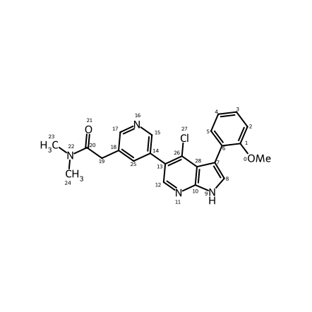 COc1ccccc1-c1c[nH]c2ncc(-c3cncc(CC(=O)N(C)C)c3)c(Cl)c12